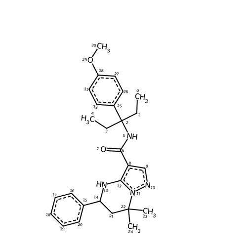 CCC(CC)(NC(=O)c1cnn2c1NC(c1ccccc1)CC2(C)C)c1ccc(OC)cc1